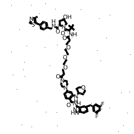 Cc1ncsc1-c1ccc(CNC(=O)[C@@H]2C[C@@H](O)CN2C(=O)[C@@H](NC(=O)CCOCCOCCOCCC(=O)N2CCN(c3ccc(C(=O)Nc4n[nH]c5ccc(Cc6cc(F)cc(F)c6)cc45)c(NC4CCOCC4)c3)CC2)C(C)(C)C)cc1